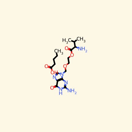 CC(C)C(N)C(=O)OCCOCn1cnc2c(=O)[nH]c(N)nc21.CCCCC(=O)O